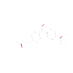 CCC(=O)CCC1CCC(C(C=O)C2CCC(C(=O)CC)CC2)CC1